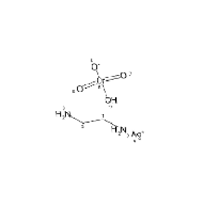 NCCN.[Ag+].[O]=[Cr](=[O])([O-])[OH]